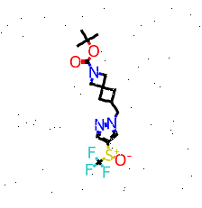 CC(C)(C)OC(=O)N1CC2(CC(Cn3cc([S+]([O-])C(F)(F)F)cn3)C2)C1